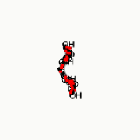 CCc1c2c(nc3ccc(O)cc13)-c1cc3c(c(=O)n1C2)COC(=O)[C@@]3(CC)OC(=O)CNC(=O)COCCOCC(CC)OCCOCC(=O)NCC(=O)O[C@]1(CC)C(=O)OCc2c1cc1n(c2=O)Cc2c-1nc1ccc(O)cc1c2CC